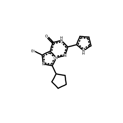 CCc1nc(C2CCCC2)n2nc(-c3ccc[nH]3)[nH]c(=O)c12